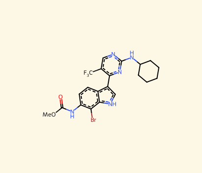 COC(=O)Nc1ccc2c(-c3nc(NC4CCCCC4)ncc3C(F)(F)F)c[nH]c2c1Br